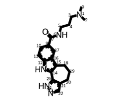 CN(C)CCCNC(=O)c1ccc2[nH]c3c(c2c1)CCCc1cn[nH]c1-3